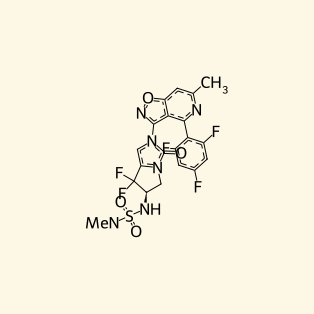 CNS(=O)(=O)N[C@@H]1Cn2c(cn(-c3noc4cc(C)nc(-c5c(F)cc(F)cc5F)c34)c2=O)C1(F)F